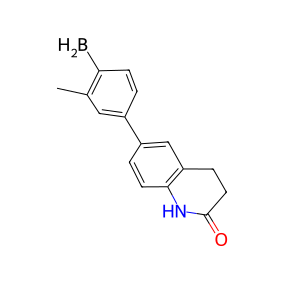 Bc1ccc(-c2ccc3c(c2)CCC(=O)N3)cc1C